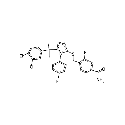 CC(C)(c1ccc(Cl)c(Cl)c1)c1cnc(SCc2ccc(C(N)=O)cc2F)n1-c1ccc(F)cc1